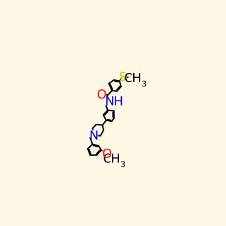 COc1cccc(CN2CCC(c3cccc(CNC(=O)c4ccc(SC)cc4)c3)CC2)c1